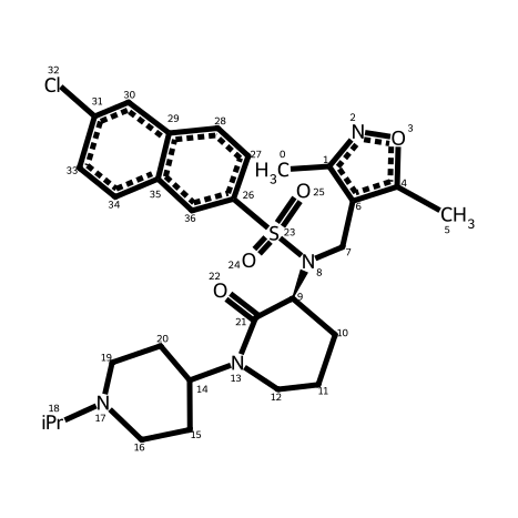 Cc1noc(C)c1CN([C@H]1CCCN(C2CCN(C(C)C)CC2)C1=O)S(=O)(=O)c1ccc2cc(Cl)ccc2c1